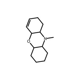 CN1C2CCC=CC2OC2CCCCC21